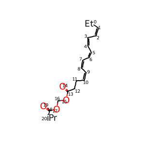 CC\C=C/C=C\C=C/C=C\C=C/CCC(=O)OCOC(=O)C(C)C